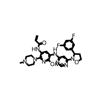 C=CC(=O)Nc1cc(Nc2cc(N3OCCC3c3cc(F)cc(F)c3)ncn2)c(OC)nc1N1CCN(C)CC1